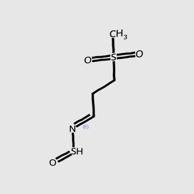 CS(=O)(=O)CC/C=N/[SH]=O